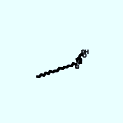 CCCCCCCC/C=C/CCCCCCCC(=O)n1ccc(CC(=O)O)c1